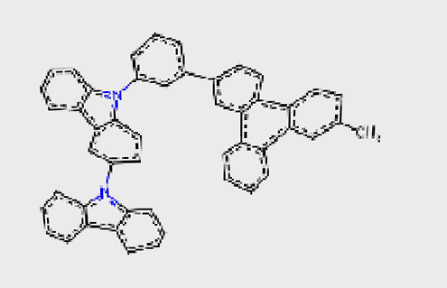 Cc1ccc2c3ccc(-c4cccc(-n5c6ccccc6c6cc(-n7c8ccccc8c8ccccc87)ccc65)c4)cc3c3ccccc3c2c1